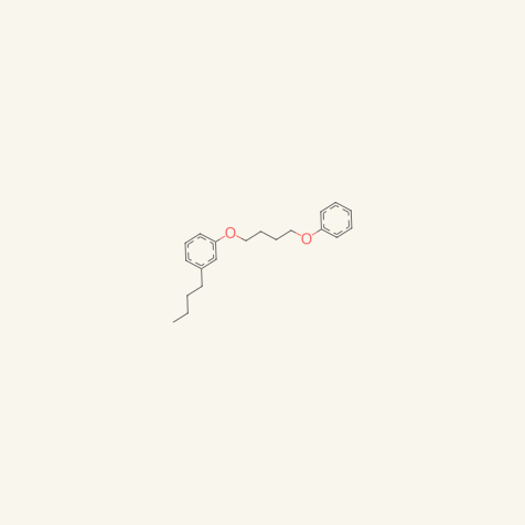 CCCCc1cccc(OCCCCOc2ccccc2)c1